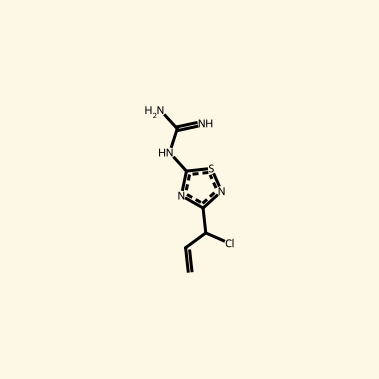 C=CC(Cl)c1nsc(NC(=N)N)n1